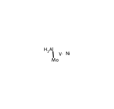 [AlH2][Mo].[Ni].[V]